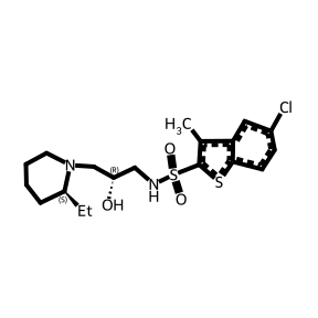 CC[C@H]1CCCCN1C[C@@H](O)CNS(=O)(=O)c1sc2ccc(Cl)cc2c1C